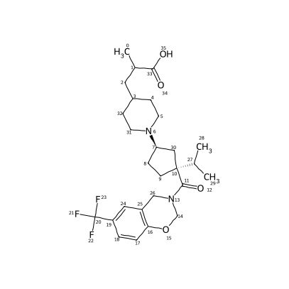 CC(CC1CCN([C@@H]2CC[C@@](C(=O)N3COc4ccc(C(F)(F)F)cc4C3)(C(C)C)C2)CC1)C(=O)O